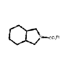 CCOC(=O)N1CC2CCCCC2C1